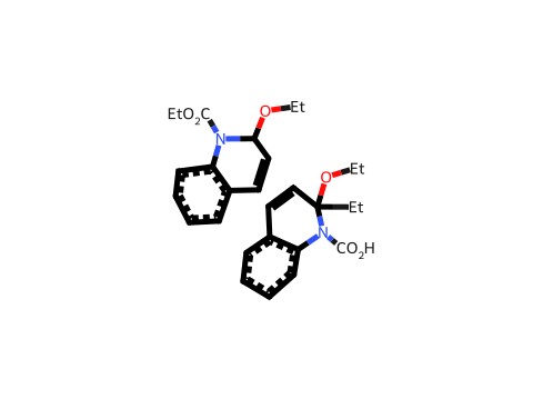 CCOC(=O)N1c2ccccc2C=CC1OCC.CCOC1(CC)C=Cc2ccccc2N1C(=O)O